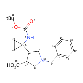 CC(C)(C)OC(=O)NC1(C2CN(Cc3ccccc3)CC2C(=O)O)CC1